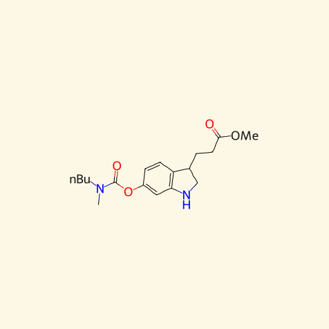 CCCCN(C)C(=O)Oc1ccc2c(c1)NCC2CCC(=O)OC